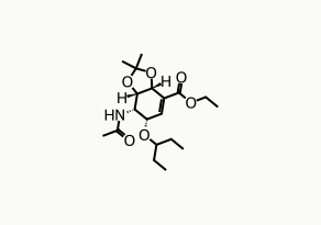 CCOC(=O)C1=C[C@H](OC(CC)CC)[C@H](NC(C)=O)[C@@H]2OC(C)(C)O[C@H]12